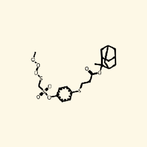 COOOSCS(=O)(=O)Oc1ccc(SCCC(=O)OC2(C)C3CC4CC(C3)CC2C4)cc1